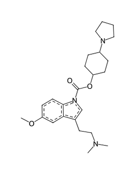 COc1ccc2c(c1)c(CCN(C)C)cn2C(=O)OC1CCC(N2CCCC2)CC1